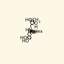 Br.Br.CCCCCCN(NCCc1cc(O)c(C)c(O)c1)C1CCc2c(ccc(O)c2O)C1